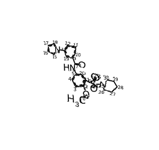 COc1ccc(NC(=O)c2cccc(-n3cccc3)c2)cc1S(=O)(=O)N1CCCCC1